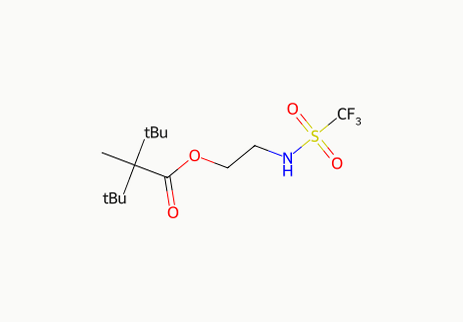 CC(C)(C)C(C)(C(=O)OCCNS(=O)(=O)C(F)(F)F)C(C)(C)C